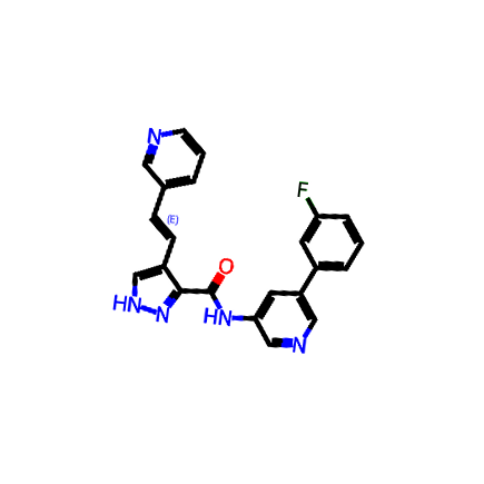 O=C(Nc1cncc(-c2cccc(F)c2)c1)c1n[nH]cc1/C=C/c1cccnc1